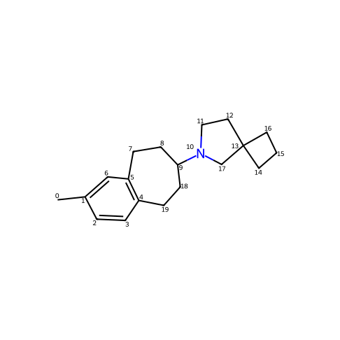 Cc1ccc2c(c1)CCC(N1CCC3(CCC3)C1)CC2